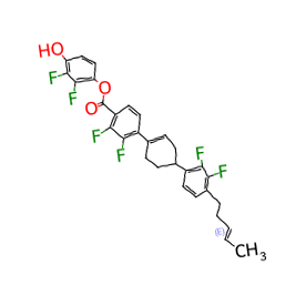 C/C=C/CCc1ccc(C2CC=C(c3ccc(C(=O)Oc4ccc(O)c(F)c4F)c(F)c3F)CC2)c(F)c1F